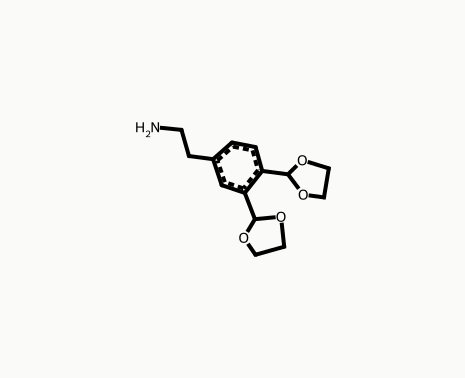 NCCc1ccc(C2OCCO2)c(C2OCCO2)c1